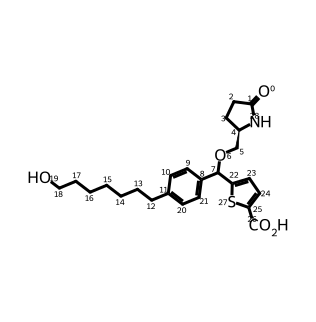 O=C1CC[C@H](COC(c2ccc(CCCCCCCO)cc2)c2ccc(C(=O)O)s2)N1